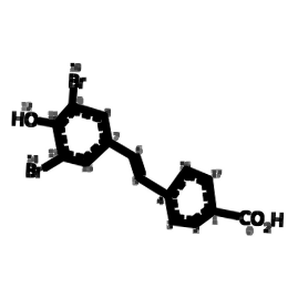 O=C(O)c1ccc(/C=C/c2cc(Br)c(O)c(Br)c2)cc1